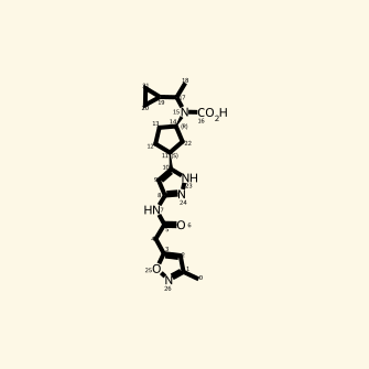 Cc1cc(CC(=O)Nc2cc([C@H]3CC[C@@H](N(C(=O)O)C(C)C4CC4)C3)[nH]n2)on1